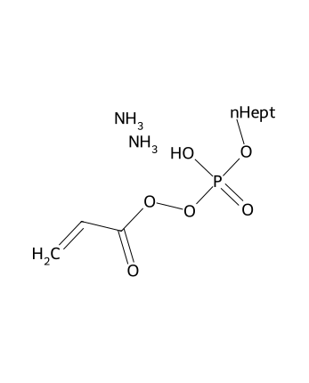 C=CC(=O)OOP(=O)(O)OCCCCCCC.N.N